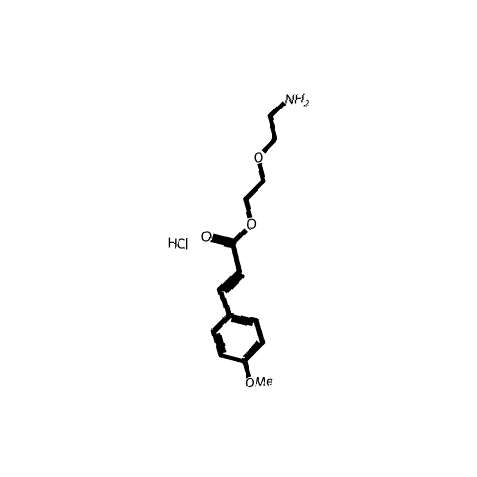 COc1ccc(/C=C/C(=O)OCCOCCN)cc1.Cl